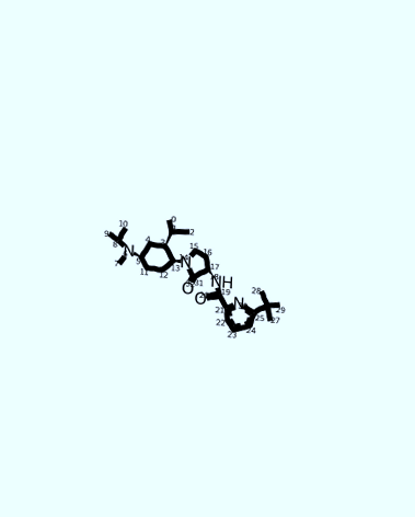 CC(C)[C@@H]1C[C@H](N(C)C(C)C)CC[C@@H]1N1CC[C@H](NC(=O)c2cccc(C(C)(C)C)n2)C1=O